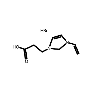 Br.C=CN1C=CN(CCC(=O)O)C1